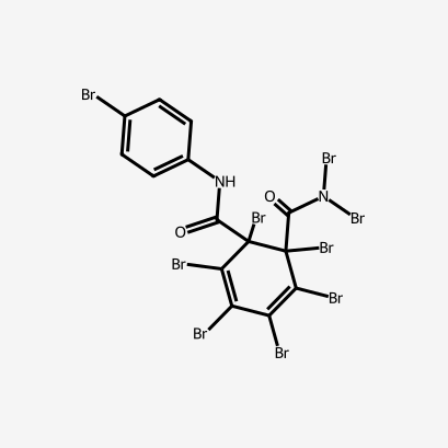 O=C(Nc1ccc(Br)cc1)C1(Br)C(Br)=C(Br)C(Br)=C(Br)C1(Br)C(=O)N(Br)Br